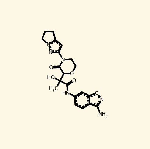 CC(O)(C(=O)Nc1ccc2c(N)noc2c1)C1OCCN(c2cc3n(n2)CCC3)C1=O